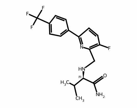 CC(C)[C@@H](NCc1nc(-c2ccc(C(F)(F)F)cc2)ccc1F)C(N)=O